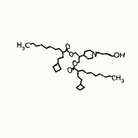 CCCCCCCCC(CCC1CCC1)C(=O)OCC(COC(=O)C(CCCCCCCC)CCC1CCC1)C1CCN(CCCCO)CC1